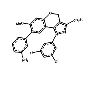 CCOC(=O)c1nn(-c2cc(Cl)cc(Cl)c2)c2c1COc1cc(OC)c(-c3cccc(N)c3)cc1-2